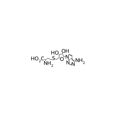 Nc1ncnc2c1ccn2C1OC(CSCCC(N)C(=O)O)C(O)C1O